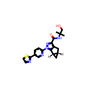 CC(C)(CO)NC(=O)c1nn(-c2ccc(-c3nccs3)cn2)c2c1C[C@@H]1C[C@H]21